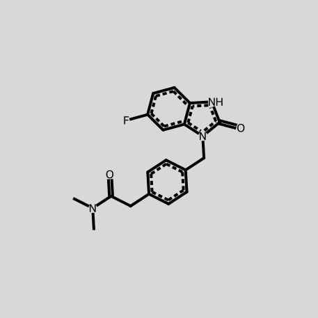 CN(C)C(=O)Cc1ccc(Cn2c(=O)[nH]c3ccc(F)cc32)cc1